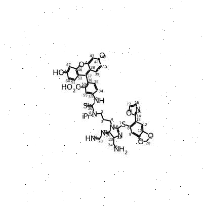 CC(C)N(CCCN1C(Sc2cc3c(cc2-c2ncco2)OCO3)=NC(CN)/C1=N\C=N)C(=S)Nc1ccc(-c2c3ccc(=O)cc-3oc3cc(O)ccc23)c(C(=O)O)c1